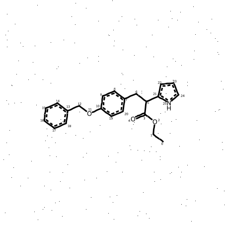 CCOC(=O)C(Cc1ccc(OCc2ccccc2)cc1)c1ccc[nH]1